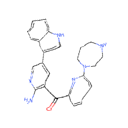 Nc1ncc(-c2c[nH]c3ccccc23)cc1C(=O)c1cccc(N2CCCNCC2)n1